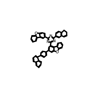 C1=Cc2cc(-c3nc(-c4ccc5oc6ccccc6c5c4)nc(-c4cc(-c5ccc(-c6cccc7ccccc67)cc5)cc5oc6ccccc6c45)n3)ccc2CC1